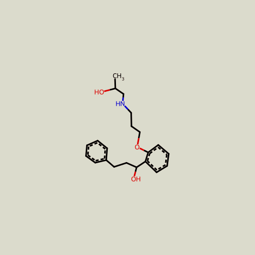 CC(O)CNCCCOc1ccccc1C(O)CCc1ccccc1